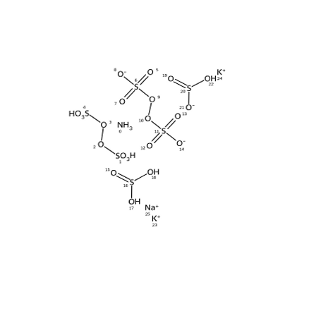 N.O=S(=O)(O)OOS(=O)(=O)O.O=S(=O)([O-])OOS(=O)(=O)[O-].O=S(O)O.O=S([O-])O.[K+].[K+].[Na+]